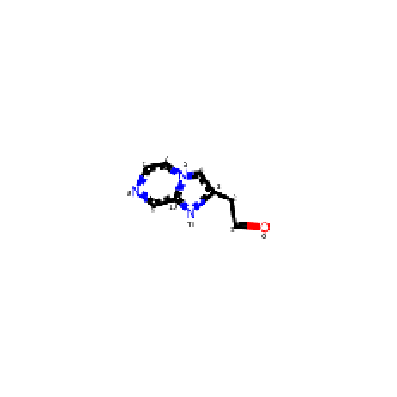 O=CCc1cn2ccncc2n1